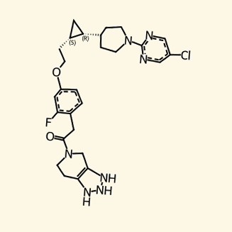 O=C(Cc1ccc(OCC[C@@H]2C[C@@H]2C2CCN(c3ncc(Cl)cn3)CC2)cc1F)N1CCC2=C(C1)NNN2